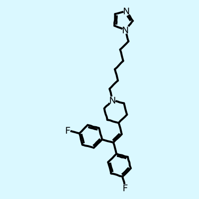 Fc1ccc(C(=CC2CCN(CCCCCCn3ccnc3)CC2)c2ccc(F)cc2)cc1